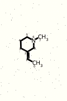 C/C=C1/CCCN(C)C1